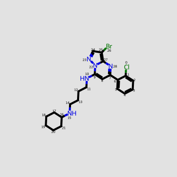 Clc1ccccc1-c1cc(NCCCCNC2CCCCC2)n2ncc(Br)c2n1